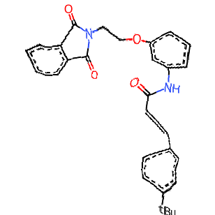 CC(C)(C)c1ccc(/C=C/C(=O)Nc2cccc(OCCN3C(=O)c4ccccc4C3=O)c2)cc1